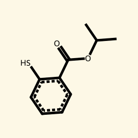 CC(C)OC(=O)c1ccccc1S